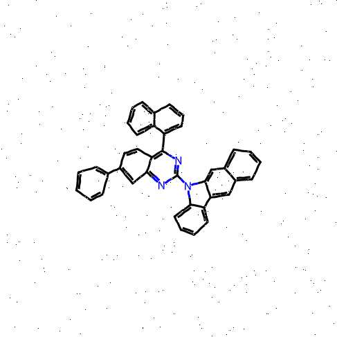 c1ccc(-c2ccc3c(-c4cccc5ccccc45)nc(-n4c5ccccc5c5cc6ccccc6cc54)nc3c2)cc1